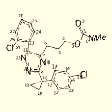 CNC(=O)OCCCc1nc(C2(c3ccc(Cl)cc3)CC2)nnc1-c1ccccc1Cl